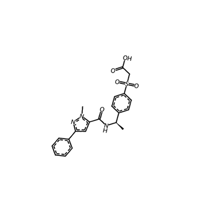 C[C@@H](NC(=O)c1cc(-c2ccccc2)nn1C)c1ccc(S(=O)(=O)CC(=O)O)cc1